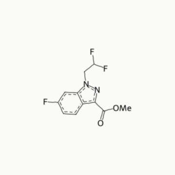 COC(=O)c1nn(CC(F)F)c2cc(F)ccc12